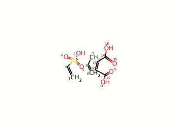 C=CC.C=CS(=O)(=O)O.O=C(O)/C=C\C(=O)O